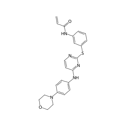 C=CC(=O)Nc1cccc(Sc2nccc(Nc3ccc(N4CCOCC4)cc3)n2)c1